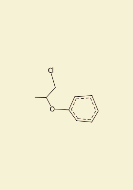 CC(CCl)Oc1ccccc1